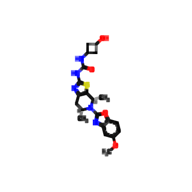 C[C@@H]1Cc2nc(NC(=O)NC3CC(O)C3)sc2[C@H](C)N1c1nc2cc(OC(F)(F)F)ccc2o1